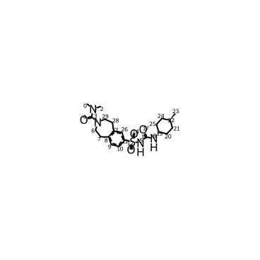 CN(C)C(=O)N1CCc2ccc(S(=O)(=O)NC(=O)N[C@H]3CC[C@H](C)CC3)cc2CC1